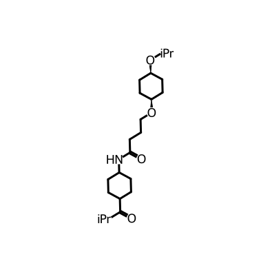 CC(C)O[C@H]1CC[C@@H](OCCCC(=O)NC2CCC(C(=O)C(C)C)CC2)CC1